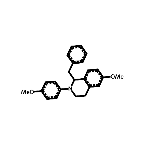 COc1ccc(N2CCc3cc(OC)ccc3C2Cc2ccccc2)cc1